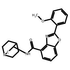 COc1ccccc1-c1nc2c(C(=O)NC3CN4CCC3CC4)cccc2o1